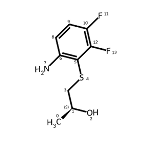 C[C@H](O)CSc1c(N)ccc(F)c1F